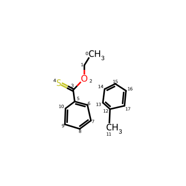 CCOC(=S)c1ccccc1.Cc1ccccc1